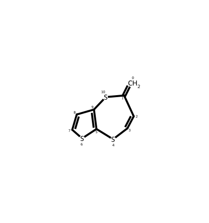 C=C1C=CSc2sccc2S1